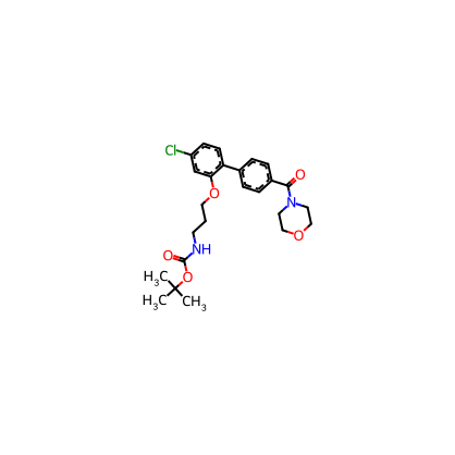 CC(C)(C)OC(=O)NCCCOc1cc(Cl)ccc1-c1ccc(C(=O)N2CCOCC2)cc1